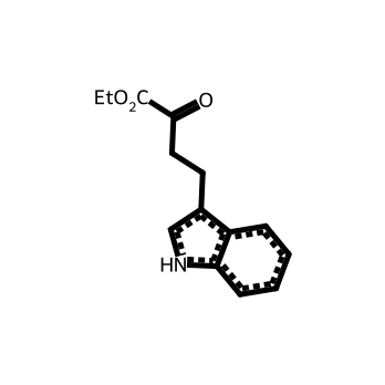 CCOC(=O)C(=O)CCc1c[nH]c2ccccc12